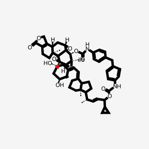 C=C1/C(=C\C=C2/CCC[C@@]3(C)C2CCC3[C@@H](C)/C=C/C(OC(=O)Nc2ccc(Cc3ccc(NC(=O)O[C@@H]4[C@@]5(C(C)C)O[C@H]5[C@@H]5O[C@]56[C@]45O[C@H]5C[C@H]4C5=C(CC[C@@]46C)C(=O)OC5)cc3)cc2)C2CC2)C[C@@H](O)C[C@@H]1O